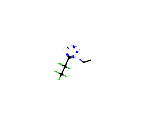 CCn1nnnc1C(Cl)(Cl)C(Cl)(Cl)Cl